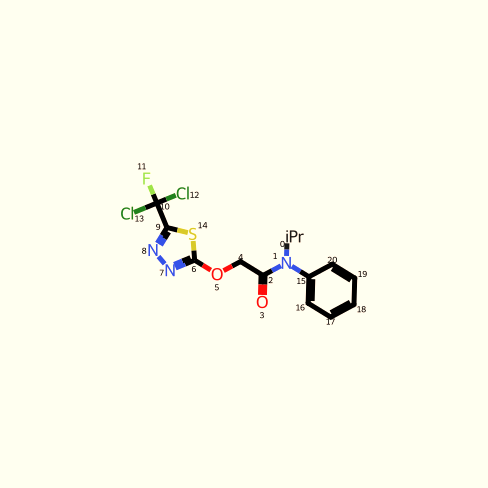 CC(C)N(C(=O)COc1nnc(C(F)(Cl)Cl)s1)c1ccccc1